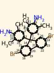 Cc1cc(C2(c3cc(C)c(N)c(C)c3)c3cc(Br)ccc3-c3ccc(Br)cc32)cc(C)c1N